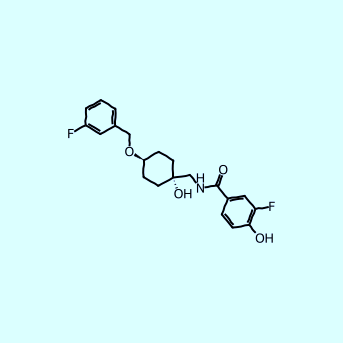 O=C(NC[C@]1(O)CC[C@H](OCc2cccc(F)c2)CC1)c1ccc(O)c(F)c1